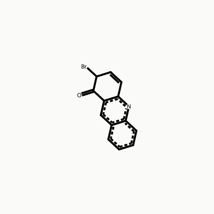 O=C1c2cc3ccccc3nc2C=CC1Br